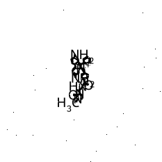 CN1CCN(CCNC(=O)c2ccc(C[n+]3c(-c4ccccc4)c4cc(N)ccc4c4ccc(N)cc43)cc2)C1=O